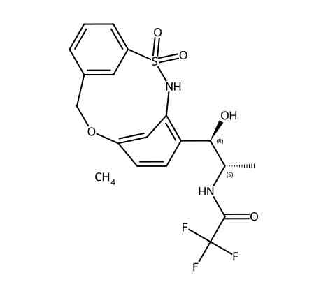 C.C[C@H](NC(=O)C(F)(F)F)[C@H](O)c1ccc2cc1NS(=O)(=O)c1cccc(c1)CO2